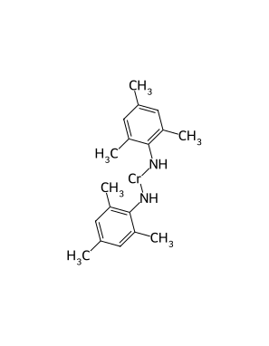 Cc1cc(C)c([NH][Cr][NH]c2c(C)cc(C)cc2C)c(C)c1